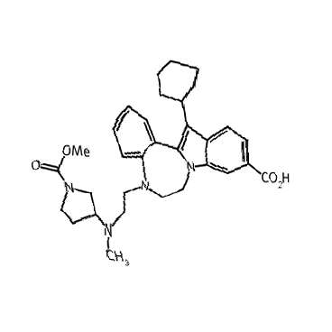 COC(=O)N1CCC(N(C)CCN2CCn3c(c(C4CCCCC4)c4ccc(C(=O)O)cc43)-c3ccccc32)C1